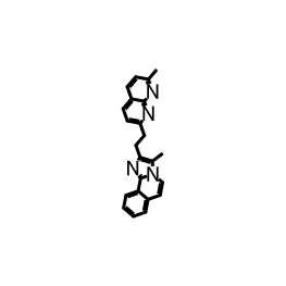 Cc1ccc2ccc(CCc3nc4c5ccccc5ccn4c3C)nc2n1